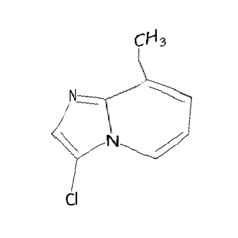 Cc1cccn2c(Cl)cnc12